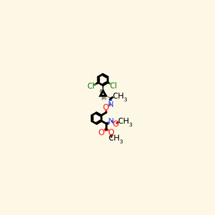 CON=C(C(=O)OC)c1ccccc1CON=C(C)[C@@H]1C[C@H]1c1c(Cl)cccc1Cl